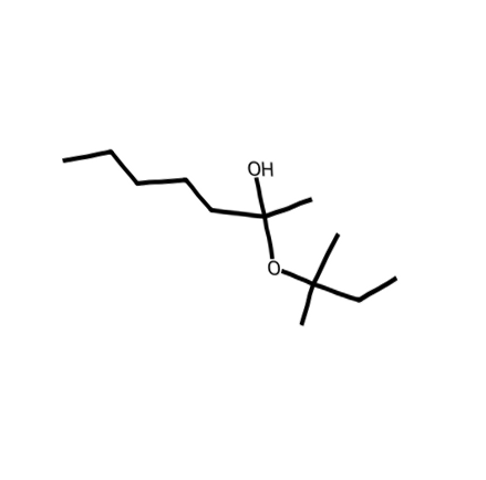 CCCCCC(C)(O)OC(C)(C)CC